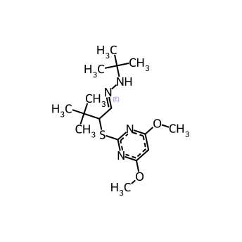 COc1cc(OC)nc(SC(/C=N/NC(C)(C)C)C(C)(C)C)n1